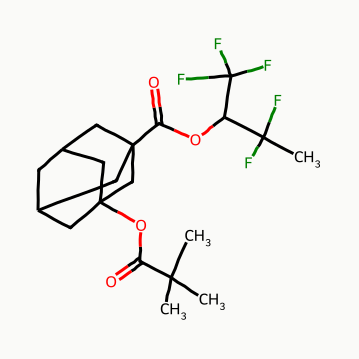 CC(C)(C)C(=O)OC12CC3CC(C1)CC(C(=O)OC(C(C)(F)F)C(F)(F)F)(C3)C2